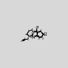 C#CCN1CCCn2c1nc1ccc(Cl)cc1c2=O